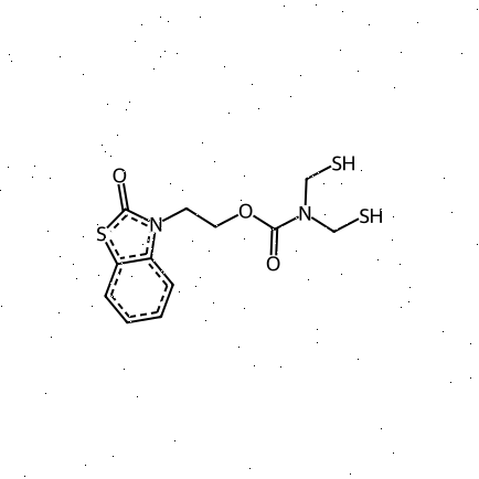 O=C(OCCn1c(=O)sc2ccccc21)N(CS)CS